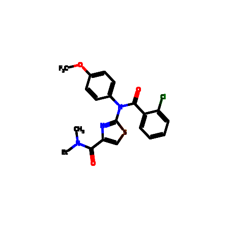 CCN(C)C(=O)c1csc(N(C(=O)c2ccccc2Cl)c2ccc(OC(F)(F)F)cc2)n1